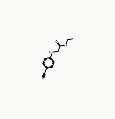 CCOC(=O)CNc1ccc(C#N)cc1